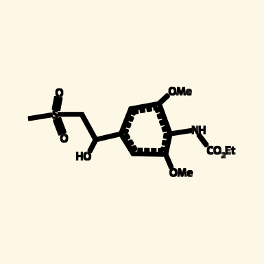 CCOC(=O)Nc1c(OC)cc(C(O)CS(C)(=O)=O)cc1OC